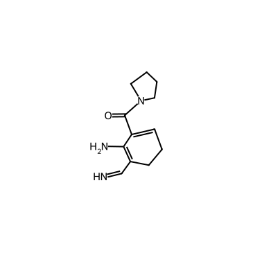 N=CC1=C(N)C(C(=O)N2CCCC2)=CCC1